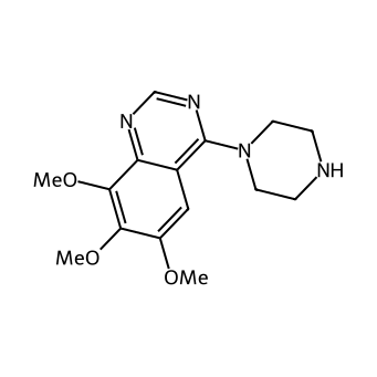 COc1cc2c(N3CCNCC3)ncnc2c(OC)c1OC